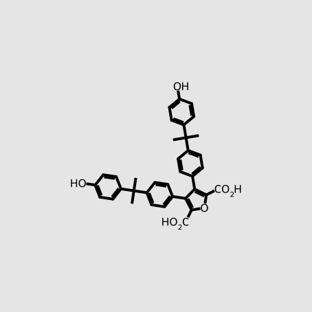 CC(C)(c1ccc(O)cc1)c1ccc(-c2c(C(=O)O)oc(C(=O)O)c2-c2ccc(C(C)(C)c3ccc(O)cc3)cc2)cc1